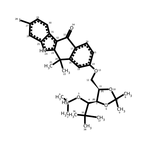 C[SiH](C)OC([C@@H]1OC(C)(C)O[C@@H]1COc1ccc2c(c1)C(C)(C)c1[nH]c3cc(I)ccc3c1C2=O)C(C)(C)C